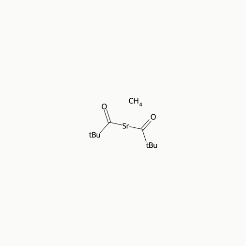 C.CC(C)(C)[C](=O)[Sr][C](=O)C(C)(C)C